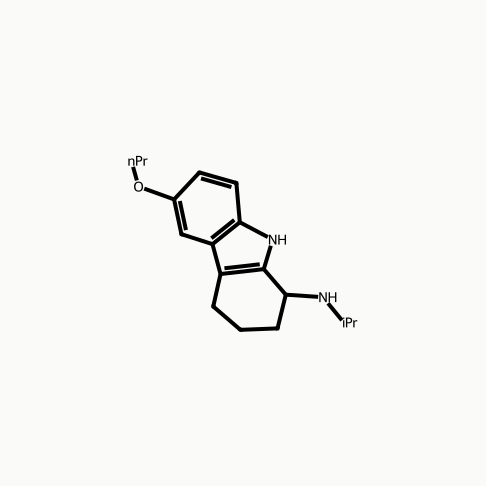 CCCOc1ccc2[nH]c3c(c2c1)CCCC3NC(C)C